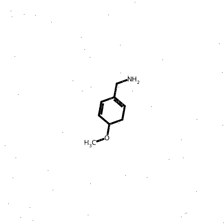 COC1C=CC(CN)=CC1